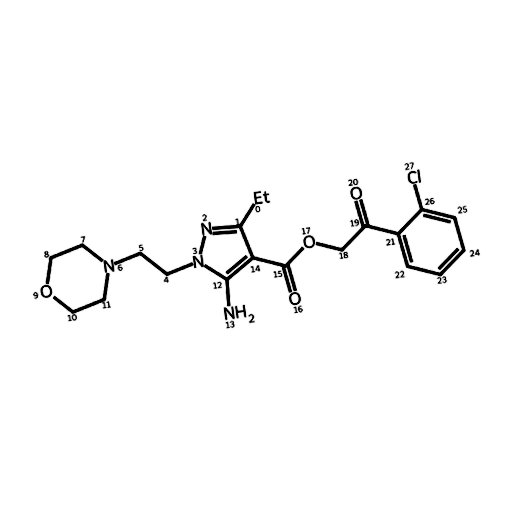 CCc1nn(CCN2CCOCC2)c(N)c1C(=O)OCC(=O)c1ccccc1Cl